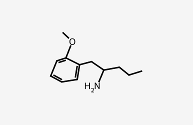 CCCC(N)Cc1ccccc1OC